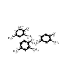 Cc1ccc([O-])c(C)c1.Cc1ccc([O-])c(C)c1.Cc1ccc([O-])c(C)c1.[Ga+3]